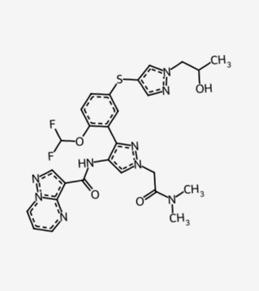 CC(O)Cn1cc(Sc2ccc(OC(F)F)c(-c3nn(CC(=O)N(C)C)cc3NC(=O)c3cnn4cccnc34)c2)cn1